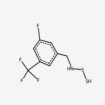 Fc1cc(CNSS)cc(C(F)(F)F)c1